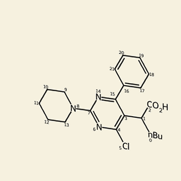 CCCCC(C(=O)O)c1c(Cl)nc(N2CCCCC2)nc1-c1ccccc1